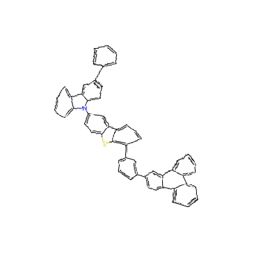 c1ccc(-c2ccc3c(c2)c2ccccc2n3-c2ccc3sc4c(-c5cccc(-c6ccc7c8ccccc8c8ccccc8c7c6)c5)cccc4c3c2)cc1